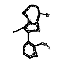 Cc1ccccc1-c1nc2c(Br)cccn2c1I